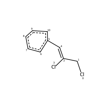 ClCC(Cl)=Cc1ccccc1